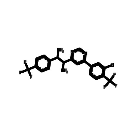 NC(c1ccc(C(F)(F)F)cc1)C(N)c1cc(-c2ccc(C(F)(F)F)c(Cl)c2)ncn1